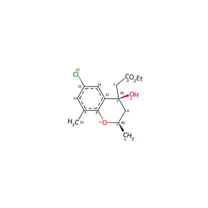 CCOC(=O)C[C@]1(O)C[C@@H](C)Oc2c(C)cc(Cl)cc21